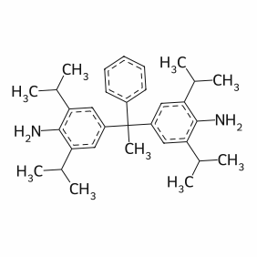 CC(C)c1cc(C(C)(c2ccccc2)c2cc(C(C)C)c(N)c(C(C)C)c2)cc(C(C)C)c1N